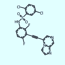 O=S(=O)(Nc1ccc(F)c(C#Cc2cncc3nccn23)c1F)c1cc(Cl)ccc1Cl